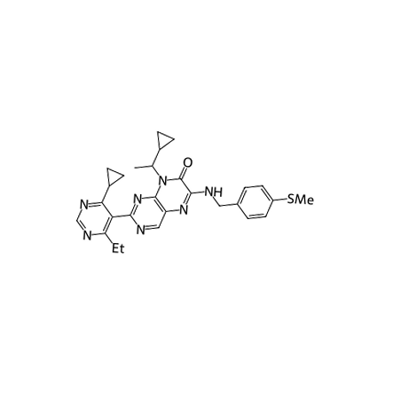 CCc1ncnc(C2CC2)c1-c1ncc2nc(NCc3ccc(SC)cc3)c(=O)n(C(C)C3CC3)c2n1